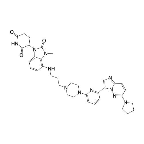 Cn1c(=O)n(C2CCC(=O)NC2=O)c2cccc(NCCCN3CCN(c4cccc(-c5cnc6ccc(N7CCCC7)nn56)n4)CC3)c21